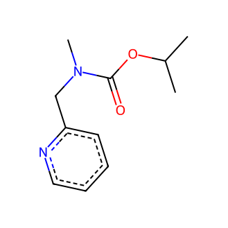 CC(C)OC(=O)N(C)Cc1ccccn1